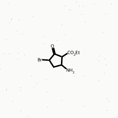 CCOC(=O)C1C(=O)C(Br)CC1N